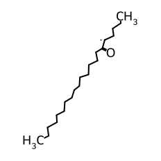 CCCC[CH]C(=O)CCCCCCCCCCCCCCC